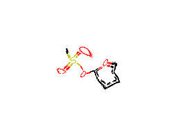 CS(=O)(=O)Oc1ccco1